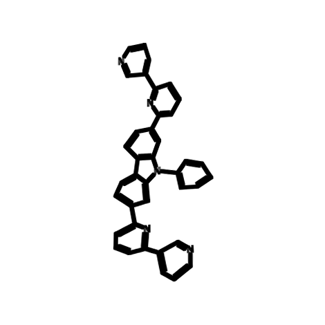 c1ccc(-n2c3cc(-c4cccc(-c5cccnc5)n4)ccc3c3ccc(-c4cccc(-c5cccnc5)n4)cc32)cc1